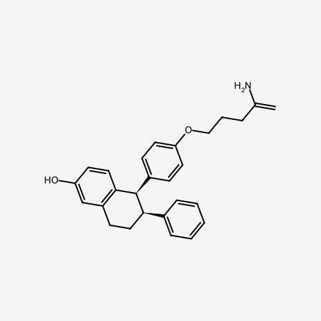 C=C(N)CCCOc1ccc([C@@H]2c3ccc(O)cc3CC[C@@H]2c2ccccc2)cc1